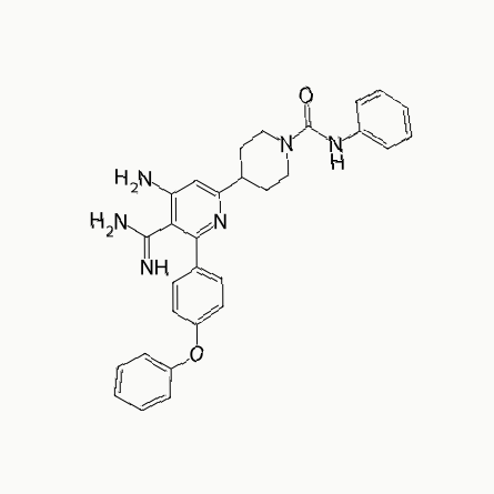 N=C(N)c1c(N)cc(C2CCN(C(=O)Nc3ccccc3)CC2)nc1-c1ccc(Oc2ccccc2)cc1